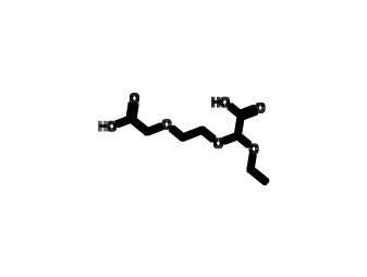 CCOC(OCCOCC(=O)O)C(=O)O